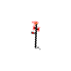 CCCCCCCCCCCCCCCCC(C(=O)[O-])=C(CCCS(=O)(=O)O)C(=O)[O-].[Na+].[Na+]